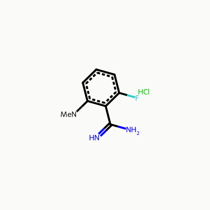 CNc1cccc(F)c1C(=N)N.Cl